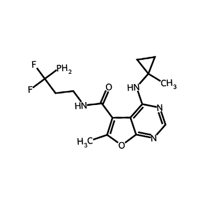 Cc1oc2ncnc(NC3(C)CC3)c2c1C(=O)NCCC(F)(F)P